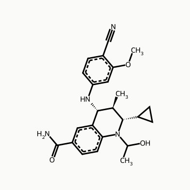 COc1cc(N[C@H]2c3cc(C(N)=O)ccc3N(C(C)O)[C@@H](C3CC3)[C@@H]2C)ccc1C#N